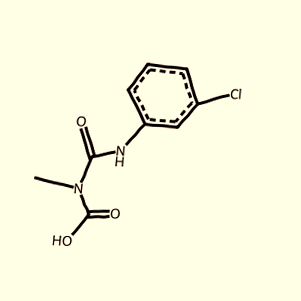 CN(C(=O)O)C(=O)Nc1cccc(Cl)c1